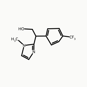 Cn1ccnc1C(CO)c1ccc(C(F)(F)F)cc1